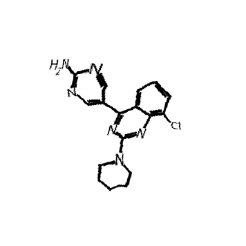 Nc1ncc(-c2nc(N3CCCCC3)nc3c(Cl)cccc23)cn1